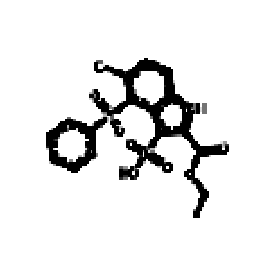 CCOC(=O)c1[nH]c2ccc(Cl)c(S(=O)(=O)c3ccccc3)c2c1S(=O)(=O)O